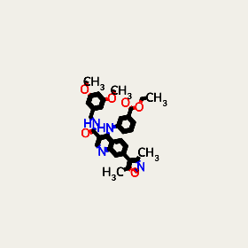 CCOC(=O)c1cccc(Nc2c(C(=O)NCc3cc(OC)cc(OC)c3)cnc3cc(-c4c(C)noc4C)ccc23)c1